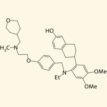 CCN(Cc1ccc(OCCN(C)CC2CCOCC2)cc1)c1cc(OC)c(OC)cc1C1CCc2cc(O)ccc2C1